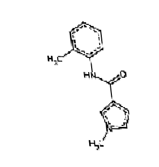 Cc1ccccc1NC(=O)c1ccn(C)c1